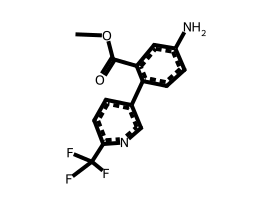 COC(=O)c1cc(N)ccc1-c1ccc(C(F)(F)F)nc1